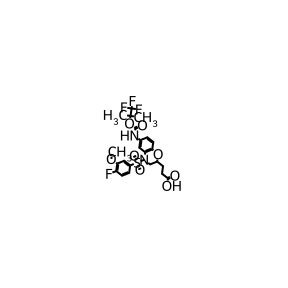 COc1cc(S(=O)(=O)N2CC(CCC(=O)O)Oc3ccc(NC(=O)OC(C)(C)C(F)(F)F)cc32)ccc1F